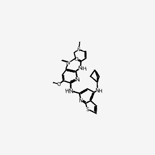 C=CC(=O)Nc1nc(Nc2cc(NC34CC(C3)C4)c3ccsc3n2)c(OC)cc1N(C)CCN(C)C